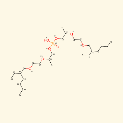 CCCCC(CC)COCCOC(C)COP(=O)(O)OCC(C)OCCOCC(CC)CCCC